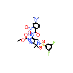 CCOC(=O)n1nc2c(c1NC(=O)c1ccc(N(C)C)cc1[N+](=O)[O-])CN(S(=O)(=O)c1cc(F)cc(F)c1)C2(C)C